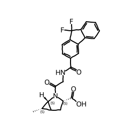 C[C@H]1C2C[C@@H](C(=O)O)N(C(=O)CNC(=O)c3ccc4c(c3)-c3ccccc3C4(F)F)[C@H]21